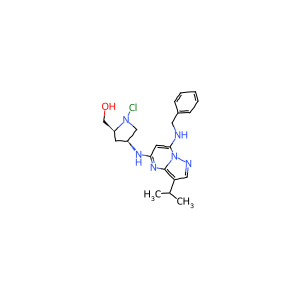 CC(C)c1cnn2c(NCc3ccccc3)cc(N[C@H]3C[C@@H](CO)N(Cl)C3)nc12